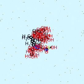 CC(=O)OC1C(C)OC(OC2C(C)OC(OC(=O)[C@]34CCC(C)(C)CC3C3=CCC5[C@@]6(C)CC[C@H](OC7OC(C(=O)O)C(O)C(OC8OCC(O)C(O)C8O)C7OC7OC(CO)C(O)C(O)C7O)[C@@](C)(/C=N/NC(=O)CCCCCN7C(=O)C[C@H](SCCO)C7=O)C6CC[C@@]5(C)[C@]3(C)C[C@H]4O)C(OC3OC(C)C(OC4OCC(O)C(OC5OC(CO)C(O)C(O)C5O)C4O)C(O)C3O)C2O)C(O)C1OC1OCC(O)C(O)C1O